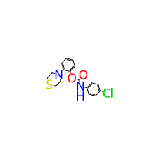 O=C(Nc1ccc(Cl)cc1)Oc1ccccc1N1CCSCC1